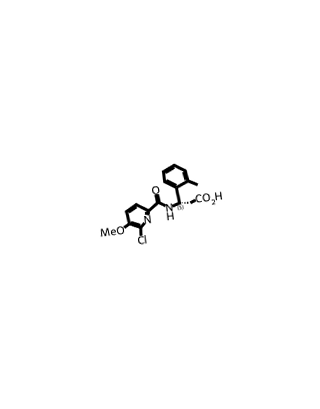 COc1ccc(C(=O)N[C@@H](CC(=O)O)c2ccccc2C)nc1Cl